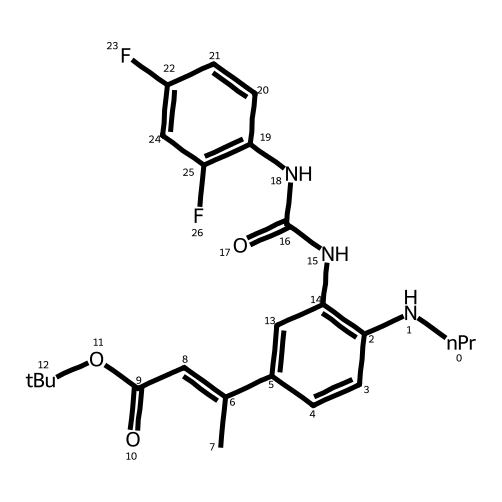 CCCNc1ccc(/C(C)=C/C(=O)OC(C)(C)C)cc1NC(=O)Nc1ccc(F)cc1F